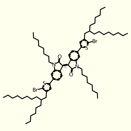 CCCCCCCCC(CCCCCC)Cc1cc(-c2ccc3c(c2)N(CCCCCCCC)C(=O)/C3=C2/C(=O)N(CCCCCCCC)c3cc(-c4cc(CC(CCCCCC)CCCCCCCC)c(Br)s4)ccc32)sc1Br